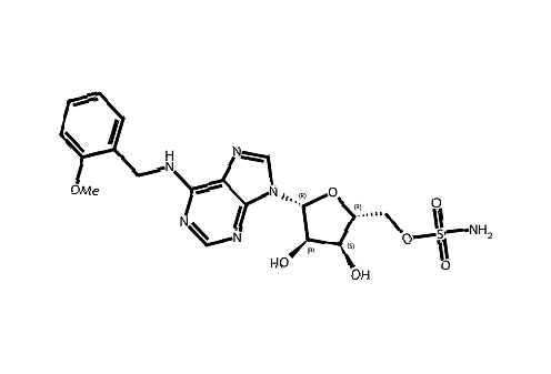 COc1ccccc1CNc1ncnc2c1ncn2[C@@H]1O[C@H](COS(N)(=O)=O)[C@@H](O)[C@H]1O